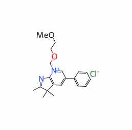 COCCOC[n+]1cc(-c2ccccc2)cc2c1N=C(C)C2(C)C.[Cl-]